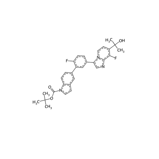 CC(C)(C)OC(=O)n1ccc2cc(-c3cc(-c4cnc5c(F)c(C(C)(C)O)ccn45)ccc3F)ccc21